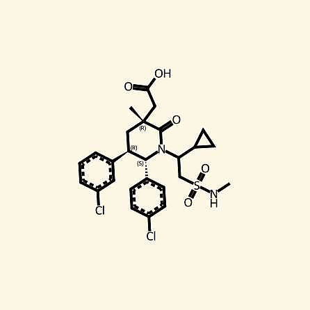 CNS(=O)(=O)CC(C1CC1)N1C(=O)[C@@](C)(CC(=O)O)C[C@H](c2cccc(Cl)c2)[C@H]1c1ccc(Cl)cc1